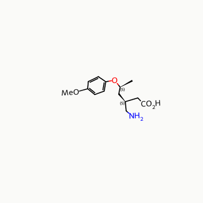 COc1ccc(O[C@@H](C)C[C@H](CN)CC(=O)O)cc1